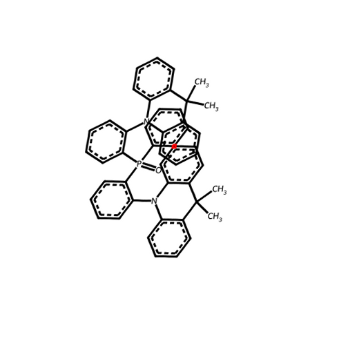 CC1(C)c2ccccc2N(c2ccccc2P(=O)(c2ccccc2)c2ccccc2N2c3ccccc3C(C)(C)c3ccccc32)c2ccccc21